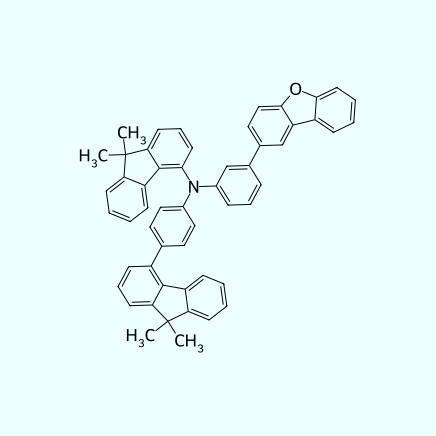 CC1(C)c2ccccc2-c2c(-c3ccc(N(c4cccc(-c5ccc6oc7ccccc7c6c5)c4)c4cccc5c4-c4ccccc4C5(C)C)cc3)cccc21